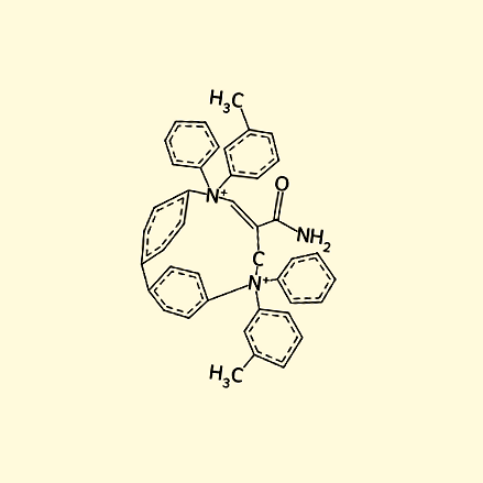 Cc1cccc([N+]2(c3ccccc3)C=C(C(N)=O)C[N+](c3ccccc3)(c3cccc(C)c3)c3ccc(cc3)-c3ccc2cc3)c1